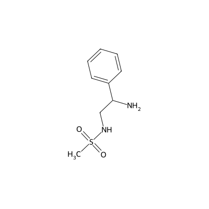 CS(=O)(=O)NCC(N)c1ccccc1